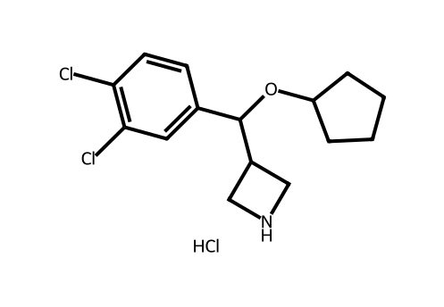 Cl.Clc1ccc(C(OC2CCCC2)C2CNC2)cc1Cl